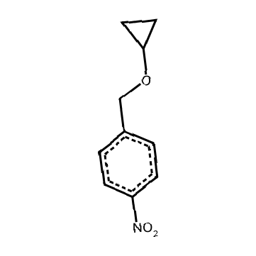 O=[N+]([O-])c1ccc(COC2CC2)cc1